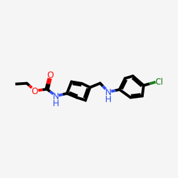 CCOC(=O)Nc1ccc(CNc2ccc(Cl)cc2)cc1